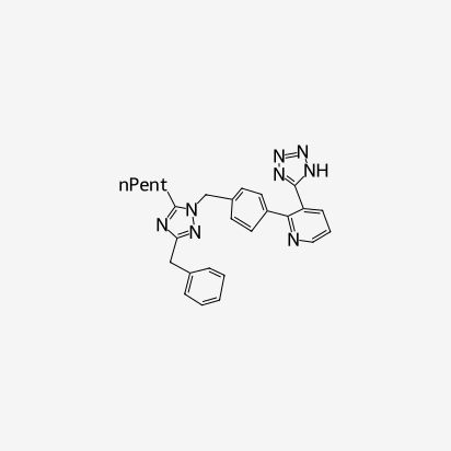 CCCCCc1nc(Cc2ccccc2)nn1Cc1ccc(-c2ncccc2-c2nnn[nH]2)cc1